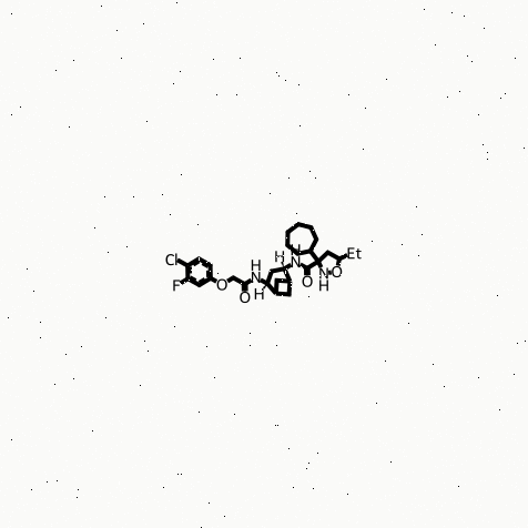 CCC1CC(C(=O)N[C@@H]2C[C@H](NC(=O)COc3ccc(Cl)c(F)c3)C3CC2C3)(C2CCCCCC2)NO1